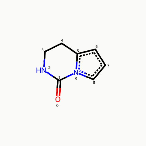 O=C1NCCc2cccn21